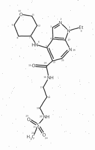 CCn1ncc2c(NC3CCOCC3)c(C(=O)NCCCNS(C)(=O)=O)cnc21